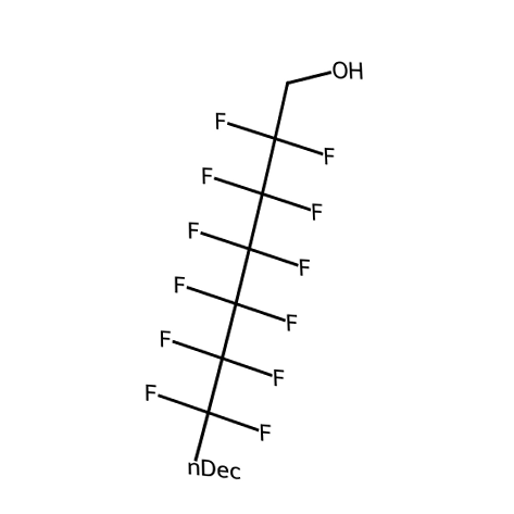 CCCCCCCCCCC(F)(F)C(F)(F)C(F)(F)C(F)(F)C(F)(F)C(F)(F)CO